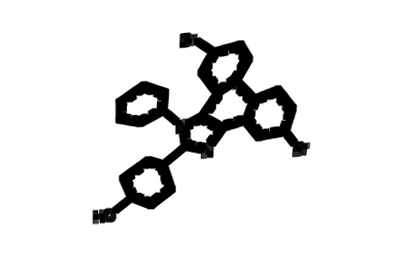 Oc1ccc(-c2nc3c4cc(Br)ccc4c4ccc(Br)cc4c3n2-c2ccccc2)cc1